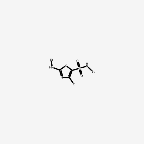 CCNc1nc(Cl)c(S(=O)(=O)NCC)s1